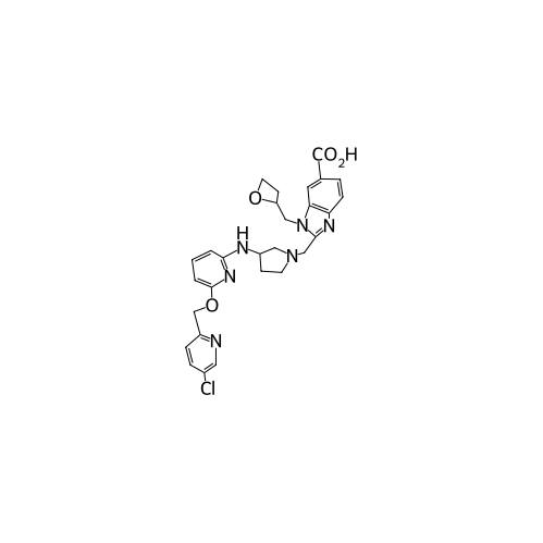 O=C(O)c1ccc2nc(CN3CCC(Nc4cccc(OCc5ccc(Cl)cn5)n4)C3)n(CC3CCO3)c2c1